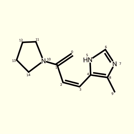 C=C(/C=C\c1[nH]cnc1C)N1CCCC1